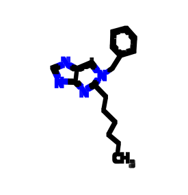 CCCCCCc1nc2ncnc-2[c]n1Cc1ccccc1